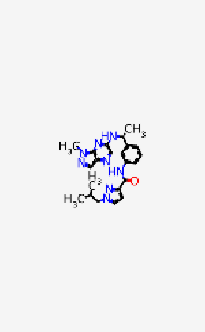 CC(C)Cn1ccc(C(=O)Nc2cccc([C@H](C)Nc3cnc4cnn(C)c4n3)c2)n1